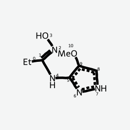 CCC(=NO)Nc1n[nH]cc1OC